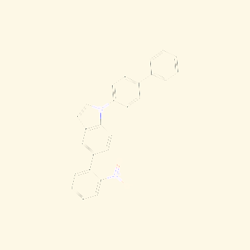 O=[N+]([O-])c1ccccc1-c1ccc2c(ccn2-c2ccc(-c3ccccc3)cc2)c1